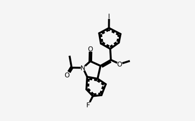 COC(=C1C(=O)N(C(C)=O)c2cc(F)ccc21)c1ccc(I)cc1